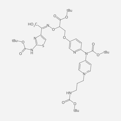 CC(C)(C)OC(=O)NCCC[n+]1ccc(N(C(=O)OC(C)(C)C)c2ccc(OCC(ON=C(C(=O)O)c3csc(NC(=O)OC(C)(C)C)n3)C(=O)OC(C)(C)C)cn2)cc1